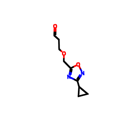 O=CCCOCc1nc(C2CC2)no1